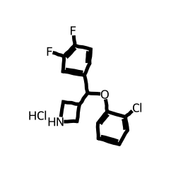 Cl.Fc1ccc(C(Oc2ccccc2Cl)C2CNC2)cc1F